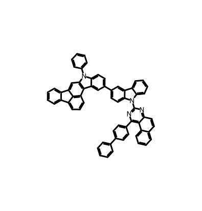 c1ccc(-c2ccc(-c3nc(-n4c5ccccc5c5cc(-c6ccc7c(c6)c6c8cccc9c8c(cc6n7-c6ccccc6)-c6ccccc6-9)ccc54)nc4ccc5ccccc5c34)cc2)cc1